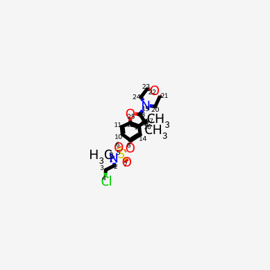 CN(CCCl)S(=O)(=O)Oc1ccc2c(c1)C(C)(C)C(N1CCOCC1)O2